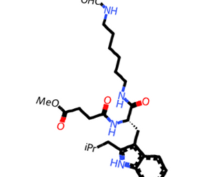 COC(=O)CCC(=O)N[C@@H](Cc1c(CC(C)C)[nH]c2ccccc12)C(=O)NCCCCCCNC=O